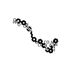 Cc1c(OC2CCC(CCCCN3CCN(c4nc5ccc(C6CCC(=O)NC6=O)cc5o4)CC3)CC2)cccc1-c1ccc(N2CCc3cccc(C(=O)Nc4nc5ccccc5s4)c3C2)nc1C(=O)O